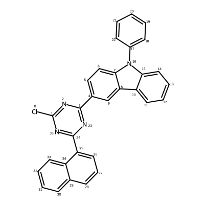 Clc1nc(-c2ccc3c(c2)c2ccccc2n3-c2ccccc2)nc(-c2cccc3ccccc23)n1